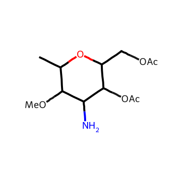 COC1C(C)OC(COC(C)=O)C(OC(C)=O)C1N